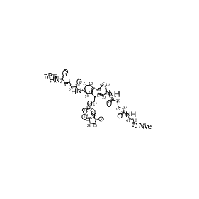 CCCNC(=O)CCCC(=O)Nc1ccc2c(c1)C(COC(=O)ON1C(=O)CCC1=O)c1cc(NC(=O)CCCC(=O)NCCOC)ccc1-2